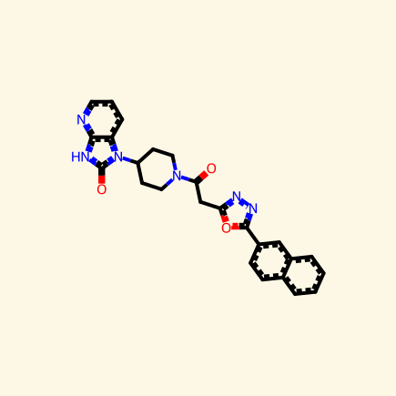 O=C(Cc1nnc(-c2ccc3ccccc3c2)o1)N1CCC(n2c(=O)[nH]c3ncccc32)CC1